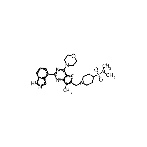 Cc1c(CN2CCC(S(=O)(=O)N(C)C)CC2)sc2c(N3CCOCC3)nc(-c3cccc4[nH]ncc34)nc12